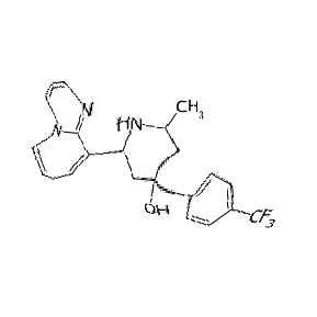 CC1CC(O)(c2ccc(C(F)(F)F)cc2)CC(c2cccn3ccnc23)N1